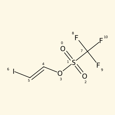 O=S(=O)(OC=CI)C(F)(F)F